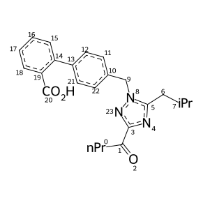 CCCC(=O)c1nc(CC(C)C)n(Cc2ccc(-c3ccccc3C(=O)O)cc2)n1